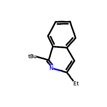 CCc1cc2ccccc2c(C(C)(C)C)n1